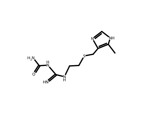 Cc1[nH]cnc1CSCCNC(=N)NC(N)=O